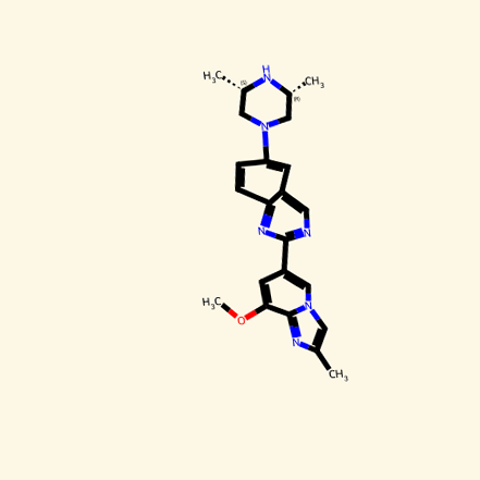 COc1cc(-c2ncc3cc(N4C[C@@H](C)N[C@@H](C)C4)ccc3n2)cn2cc(C)nc12